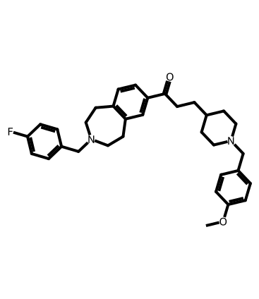 COc1ccc(CN2CCC(CCC(=O)c3ccc4c(c3)CCN(Cc3ccc(F)cc3)CC4)CC2)cc1